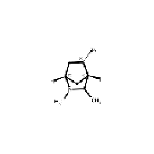 CC(C)[C@H]1C[C@@H]2C[C@H]1C(C)N2C